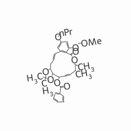 CCCOc1cc2c(c(OCOC)c1)C(=O)O[C@@H](C)[C@H](C)/C=C\C(OC(=O)c1ccccc1)C1OC(C)(C)OC1C/C=C/2